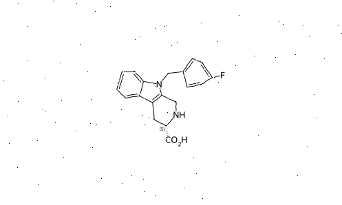 O=C(O)[C@@H]1Cc2c(n(Cc3ccc(F)cc3)c3ccccc23)CN1